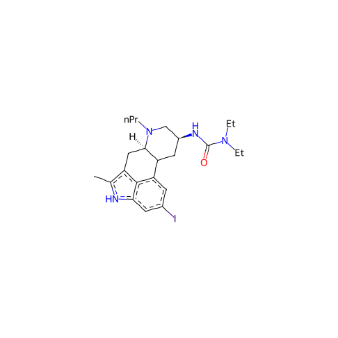 CCCN1C[C@@H](NC(=O)N(CC)CC)CC2c3cc(I)cc4[nH]c(C)c(c34)C[C@H]21